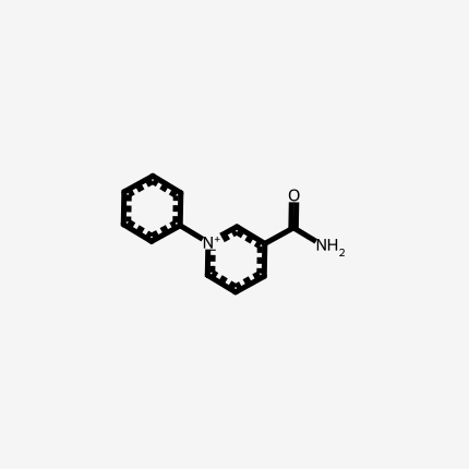 NC(=O)c1ccc[n+](-c2ccccc2)c1